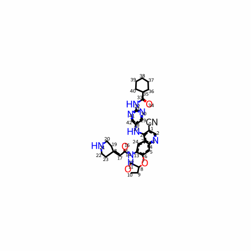 N#Cc1cnc2cc(OC3CCOC3)c(NC(=O)C=C3CCNCC3)cc2c1Nc1cnc(NC(=O)C2CCCCC2)nc1